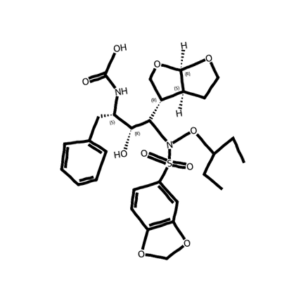 CCC(CC)ON(C([C@H](O)[C@H](Cc1ccccc1)NC(=O)O)[C@@H]1CO[C@H]2OCC[C@H]21)S(=O)(=O)c1ccc2c(c1)OCO2